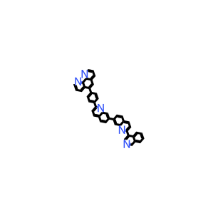 c1ccc2c(-c3ccc4ccc(-c5ccc6ccc(-c7ccc(-c8cc9cccnc9c9ncccc89)cc7)nc6c5)cc4n3)cncc2c1